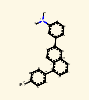 CN(C)c1cccc(-c2ccc3c(-c4ccc(C(C)(C)C)cc4)cccc3c2)c1